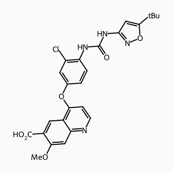 COc1cc2nccc(Oc3ccc(NC(=O)Nc4cc(C(C)(C)C)on4)c(Cl)c3)c2cc1C(=O)O